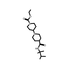 CCOC(=O)N1CCC(N2CCC(C(=O)NC(C)(C)C(C)C)CC2)CC1